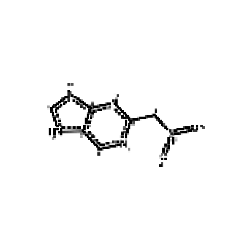 O=[SH](=O)Cc1ncc2[nH]cnc2n1